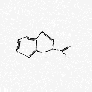 NC(=O)C1C=Cc2ccccc2N1